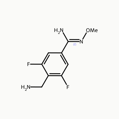 CO/N=C(\N)c1cc(F)c(CN)c(F)c1